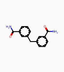 NC(=O)c1cccc(Cc2cccc(C(N)=O)c2)c1